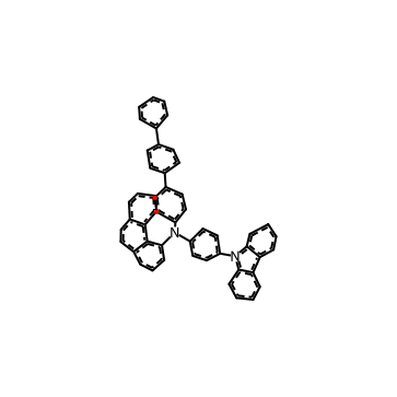 c1ccc(-c2ccc(-c3ccc(N(c4ccc(-n5c6ccccc6c6ccccc65)cc4)c4cccc5ccc6ccccc6c45)cc3)cc2)cc1